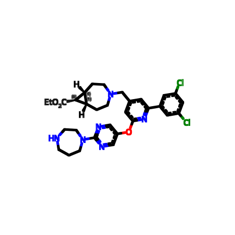 CCOC(=O)[C@H]1[C@@H]2CCN(Cc3cc(Oc4cnc(N5CCCNCC5)nc4)nc(-c4cc(Cl)cc(Cl)c4)c3)CC[C@@H]21